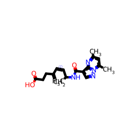 C=C(/C=C\C(C)NC(=O)c1cnn2c(C)cc(C)nc12)CCC(=O)O